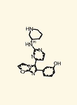 Oc1cccc(-c2nc3occn3c2-c2ccnc(N[C@@H]3CCCNC3)n2)c1